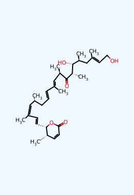 CC(=C/[C@H](C)C/C=C/C(C)=C/[C@@H](C)C(=O)[C@@H](C)[C@H](O)[C@@H](C)C/C(C)=C/CO)/C=C/[C@@H]1OC(=O)C=C[C@@H]1C